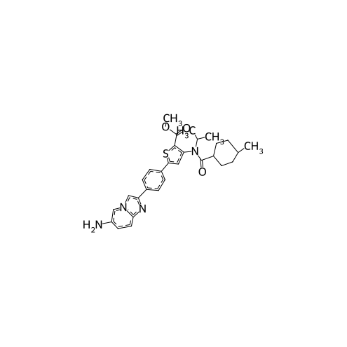 COC(=O)c1sc(-c2ccc(-c3cn4cc(N)ccc4n3)cc2)cc1N(C(=O)C1CCC(C)CC1)C(C)C